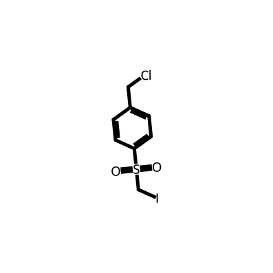 O=S(=O)(CI)c1ccc(CCl)cc1